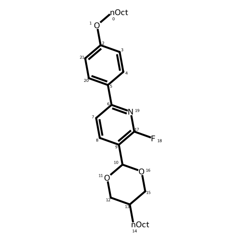 CCCCCCCCOc1ccc(-c2ccc(C3OCC(CCCCCCCC)CO3)c(F)n2)cc1